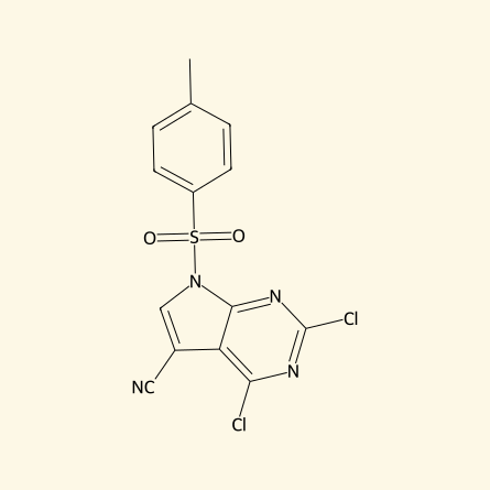 Cc1ccc(S(=O)(=O)n2cc(C#N)c3c(Cl)nc(Cl)nc32)cc1